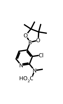 CN(C(=O)O)c1nccc(B2OC(C)(C)C(C)(C)O2)c1Cl